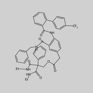 CCNC(=O)C(COC(=O)Cc1ccc(NC(=O)c2ccccc2-c2ccc(C(F)(F)F)cc2)c(C(=O)NCc2ccccc2)c1)(C(=O)NCC)c1ccccc1